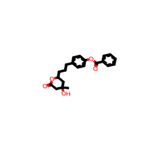 CC1(O)CC(=O)OC(CCCc2ccc(OC(=O)c3ccccc3)cc2)C1